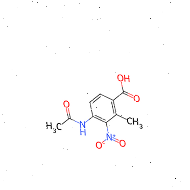 CC(=O)Nc1ccc(C(=O)O)c(C)c1[N+](=O)[O-]